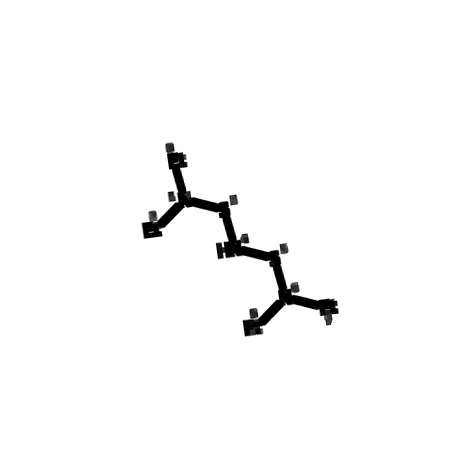 CCN(CC)SNSN(CC)CC